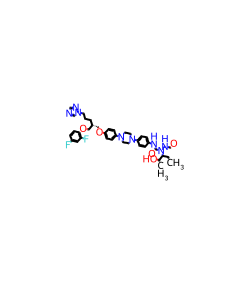 CCC(C(C)O)N(NC=O)C(=O)Nc1ccc(N2CCN(c3ccc(OC[C@@H](CCCn4cncn4)COc4ccc(F)cc4F)cc3)CC2)cc1